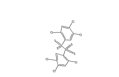 S=S(=S)(c1cc(Cl)c(Cl)cc1Cl)S(=S)(=S)c1cc(Cl)c(Cl)cc1Cl